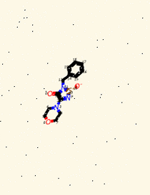 O=c1c(N2CCOCC2)n[s+]([O-])n1Cc1ccccc1